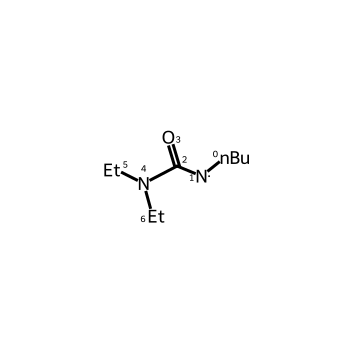 CCCC[N]C(=O)N(CC)CC